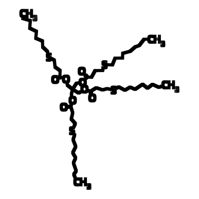 CCCCCCCCCSCCCC(=O)OCC(COC(=O)CCCSCCCCCCCCC)(COC(=O)CCCSCCCCCCCCC)COC(=O)CCCSCCCCCCCCC